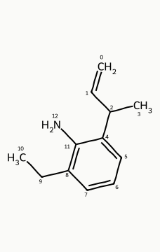 C=CC(C)c1cccc(CC)c1N